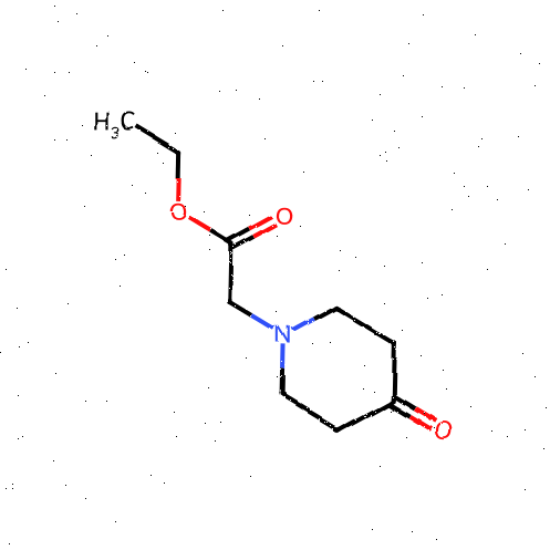 CCOC(=O)CN1CCC(=O)CC1